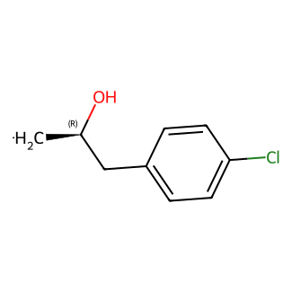 [CH2][C@@H](O)Cc1ccc(Cl)cc1